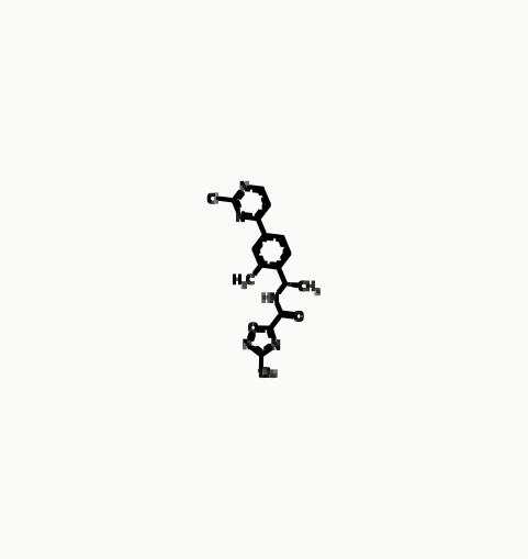 Cc1cc(-c2ccnc(Cl)n2)ccc1[C@@H](C)NC(=O)c1nc(C(C)(C)C)no1